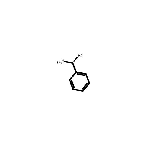 CC(=O)[C@H](N)c1ccccc1